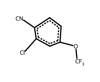 [C-]#[N+]c1ccc(OC(F)(F)F)cc1Cl